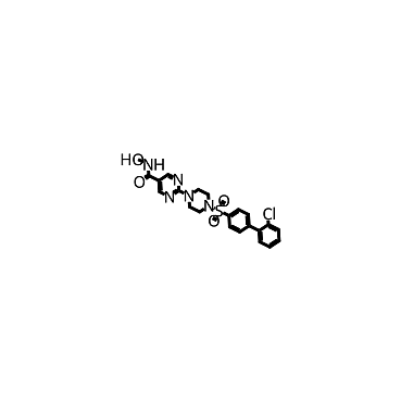 O=C(NO)c1cnc(N2CCN(S(=O)(=O)c3ccc(-c4ccccc4Cl)cc3)CC2)nc1